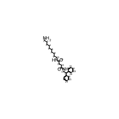 NCCCCCCCCCCNC(=O)CCC(=O)NCC(c1ccccc1)c1ccccc1